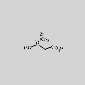 O=C(O)CNO.[AlH3].[Zr]